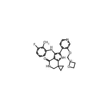 Cc1c(F)cccc1Nc1c(-c2ccncc2OC[C@H]2CCO2)[nH]c2c1C(=O)NCC21CC1